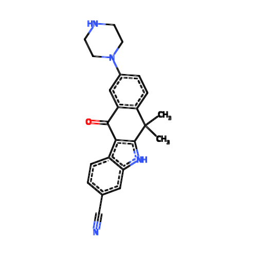 CC1(C)c2ccc(N3CCNCC3)cc2C(=O)c2c1[nH]c1cc(C#N)ccc21